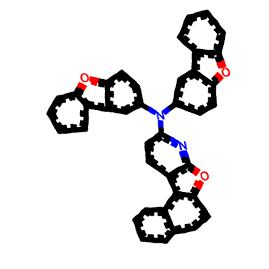 c1ccc2c(c1)ccc1oc3nc(N(c4ccc5oc6ccccc6c5c4)c4ccc5oc6ccccc6c5c4)ccc3c12